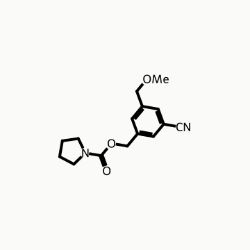 COCc1cc(C#N)cc(COC(=O)N2CCCC2)c1